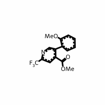 COC(=O)c1cc(C(F)(F)F)ncc1-c1ccccc1OC